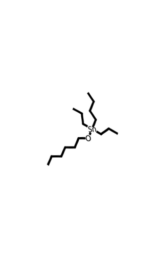 CCCCCC[O][Sn]([CH2]CC)([CH2]CC)[CH2]CCC